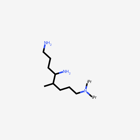 CC(CCCN(C(C)C)C(C)C)C(N)CCCN